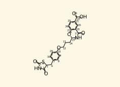 O=C1NC(=O)C(Cc2ccc(OCCCC3NC(=O)c4cc(C(=O)O)ccc4O3)cc2)S1